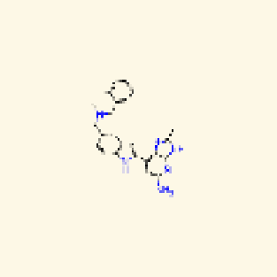 Cc1nc2c(-c3cc4cc(CN(C)Cc5ccccc5C)ccc4[nH]3)cc(N)nc2[nH]1